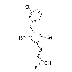 CCN(C)C=Nc1cc(C#N)c(Cc2cccc(Cl)c2)cc1C